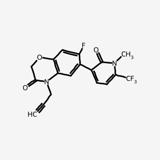 C#CCN1C(=O)COc2cc(F)c(-c3ccc(C(F)(F)F)n(C)c3=O)cc21